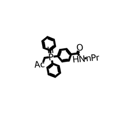 CCCNC(=O)c1ccc([PH](CC(C)=O)(c2ccccc2)c2ccccc2)cc1